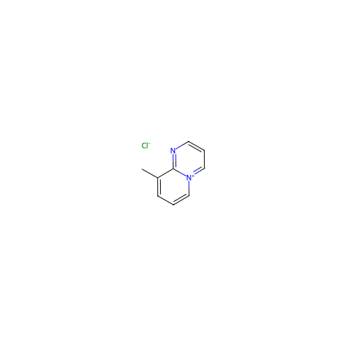 Cc1ccc[n+]2cccnc12.[Cl-]